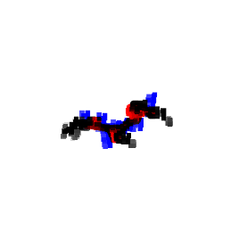 CNCCCOc1cc(OCCCNCCNCc2ccc(OCCCNCCNCCCC(CCCNC)C(C)=O)c(C(C)=O)c2)cc(C(C)=O)c1